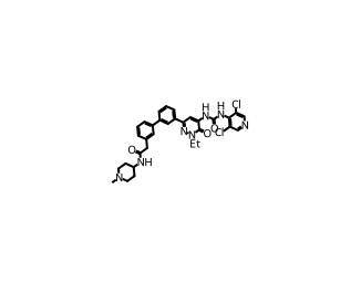 CCn1nc(-c2cccc(-c3cccc(CC(=O)NC4CCN(C)CC4)c3)c2)cc(NC(=O)Nc2c(Cl)cncc2Cl)c1=O